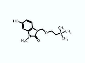 Cn1c(=O)n(COCC[Si](C)(C)C)c2ccc(O)cc21